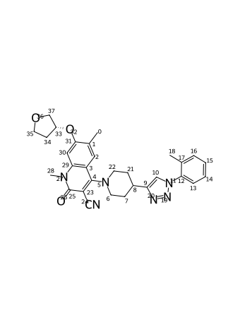 Cc1cc2c(N3CCC(c4cn(-c5ccccc5C)nn4)CC3)c(C#N)c(=O)n(C)c2cc1O[C@@H]1CCOC1